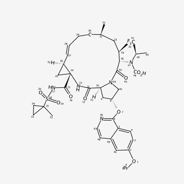 CC(C)Oc1ccc2c(O[C@@H]3C[C@H]4C(=O)N[C@]5(C(=O)NS(=O)(=O)C6(C)CC6)C[C@H]5/C=C\CC[C@@H](C)C[C@@H](C)[C@H](N(C(=O)O)[C@H](C)C(F)(F)F)C(=O)N4C3)nccc2c1